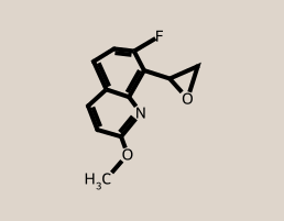 COc1ccc2ccc(F)c(C3CO3)c2n1